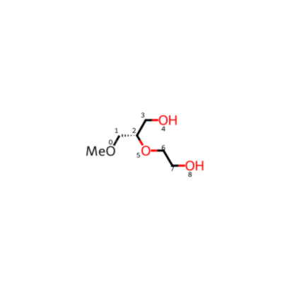 COC[C@H](CO)OCCO